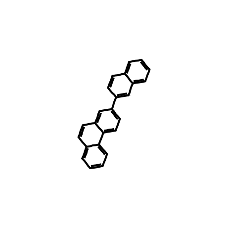 [c]1c(-c2ccc3c(ccc4ccccc43)c2)ccc2ccccc12